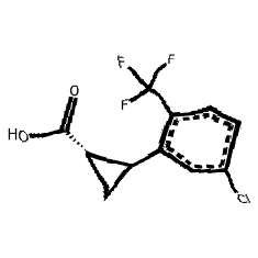 O=C(O)[C@H]1CC1c1cc(Cl)ccc1C(F)(F)F